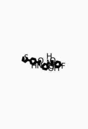 O=C(Nc1ccc(O)c(NS(=O)(=O)c2ccc(F)cc2)c1)c1ccc(-c2cccs2)cc1